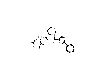 O=C(O)CC(NC(=O)[C@@H]1CCCCN1C(=O)c1csc(-c2ccccc2)n1)C(=O)CF